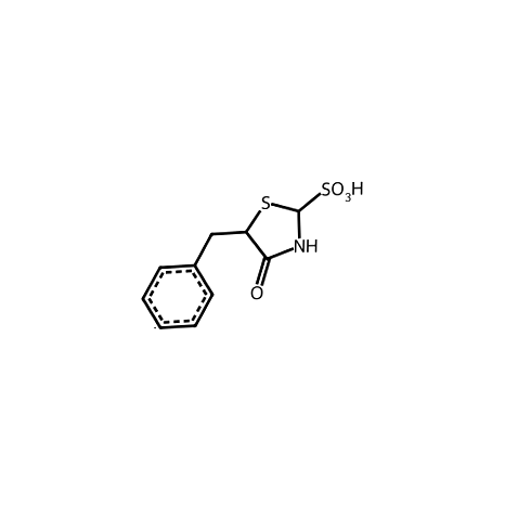 O=C1NC(S(=O)(=O)O)SC1Cc1cc[c]cc1